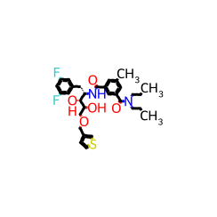 CCCN(CCC)C(=O)c1cc(C)cc(C(=O)N[C@@H](Cc2cc(F)cc(F)c2)[C@@H](O)C(O)COCc2ccsc2)c1